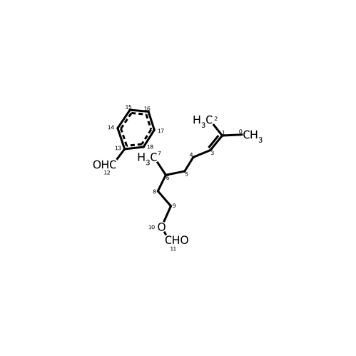 CC(C)=CCCC(C)CCOC=O.O=Cc1ccccc1